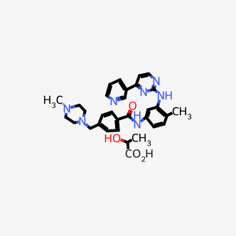 CC(O)C(=O)O.Cc1ccc(NC(=O)c2ccc(CN3CCN(C)CC3)cc2)cc1Nc1nccc(-c2cccnc2)n1